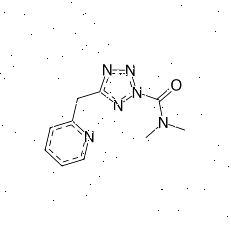 CN(C)C(=O)n1nnc(Cc2ccccn2)n1